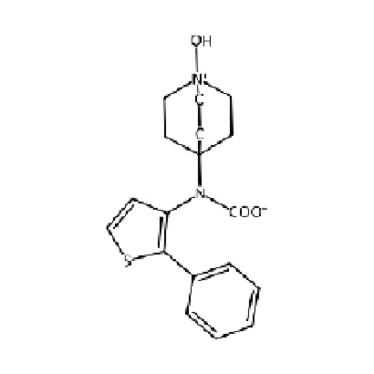 O=C([O-])N(c1ccsc1-c1ccccc1)C12CC[N+](O)(CC1)CC2